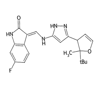 CC(C)(C)C1(C)OC=CC1c1cc(N/C=C2/C(=O)Nc3cc(F)ccc32)[nH]n1